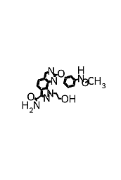 CONc1cccc(Oc2ncc3ccc4c(C(N)=O)nn(CCO)c4c3n2)c1